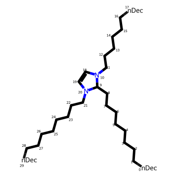 CCCCCCCCCCCCCCCCCCC1N(CCCCCCCCCCCCCCCC)C=CN1CCCCCCCCCCCCCCCCCC